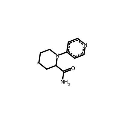 NC(=O)C1C[C]CCN1c1ccncc1